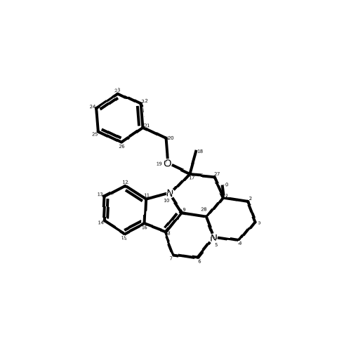 CC12CCCN3CCc4c(n(c5ccccc45)C(C)(OCc4ccccc4)C1)C32